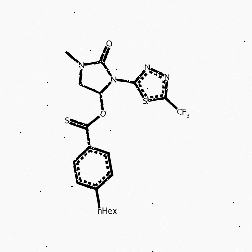 CCCCCCc1ccc(C(=S)OC2CN(C)C(=O)N2c2nnc(C(F)(F)F)s2)cc1